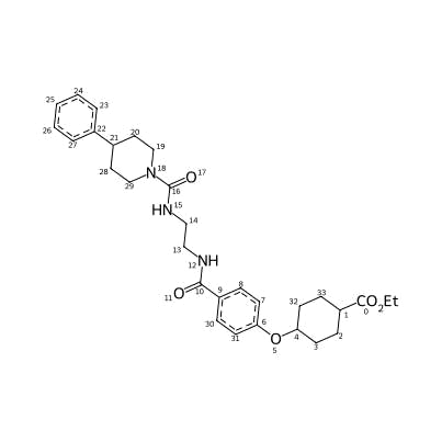 CCOC(=O)C1CCC(Oc2ccc(C(=O)NCCNC(=O)N3CCC(c4ccccc4)CC3)cc2)CC1